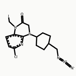 [N-]=[N+]=NCC1CCC(N2CC(=O)N(CI)c3ccc(Cl)nc32)CC1